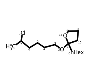 CCCCCCC1(OCCCCC(C)Cl)CCCO1